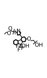 CCOC(=O)C(C)(C)n1cc(-c2cc(OCCC(C)(C)O)cc3c2-c2ccccc2[C@]3(O)C(F)(F)F)cn1